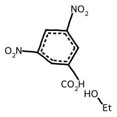 CCO.O=C(O)c1cc([N+](=O)[O-])cc([N+](=O)[O-])c1